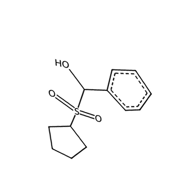 O=S(=O)(C1CCCC1)C(O)c1ccccc1